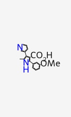 COc1cccc(-c2[nH]c(C)c(-c3cccnc3)c2C(=O)O)c1